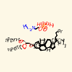 CCCCCOC[C@H](COC1CC[C@@]2(C)C(=CC[C@H]3[C@@H]4CC[C@H]([C@H](C)CCCC(C)C)[C@@]4(C)CC[C@@H]32)C1)OCCCCC.NCCOP(=O)(O)O